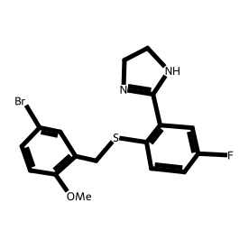 COc1ccc(Br)cc1CSc1ccc(F)cc1C1=NCCN1